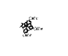 COc1ccc([Si](C2=C(C)C(C)=C(C)C2C)(c2ccc(OC)cc2C)c2ccc(OC)cc2C)c(C)c1